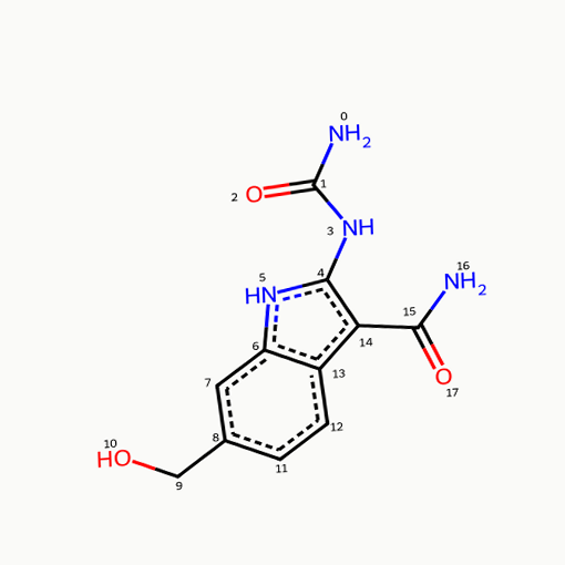 NC(=O)Nc1[nH]c2cc(CO)ccc2c1C(N)=O